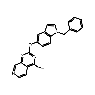 Oc1nc(Oc2ccc3c(ccn3Cc3ccccc3)c2)nc2cnccc12